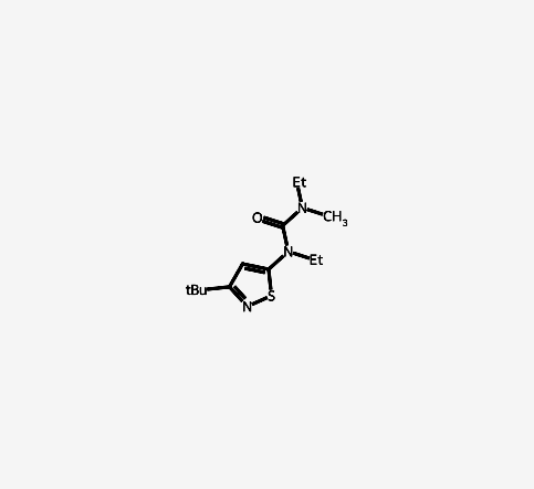 CCN(C)C(=O)N(CC)c1cc(C(C)(C)C)ns1